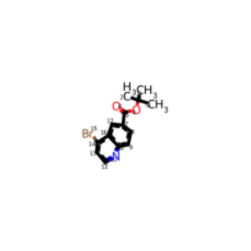 CC(C)(C)OC(=O)c1ccc2nccc(Br)c2c1